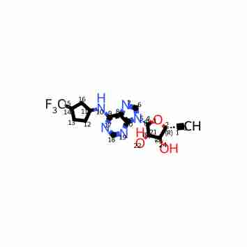 C#C[C@H]1O[C@@H](n2cnc3c(NC4CCC(C(F)(F)F)C4)ncnc32)[C@H](O)[C@@H]1O